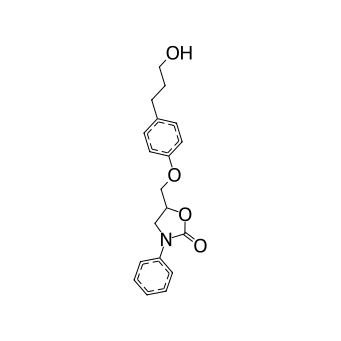 O=C1OC(COc2ccc(CCCO)cc2)CN1c1ccccc1